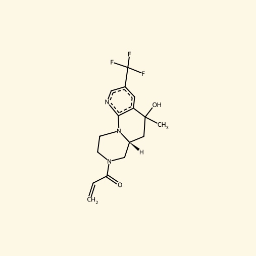 C=CC(=O)N1CCN2c3ncc(C(F)(F)F)cc3C(C)(O)C[C@@H]2C1